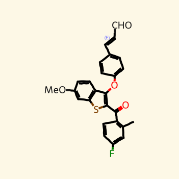 COc1ccc2c(Oc3ccc(/C=C/C=O)cc3)c(C(=O)c3ccc(F)cc3C)sc2c1